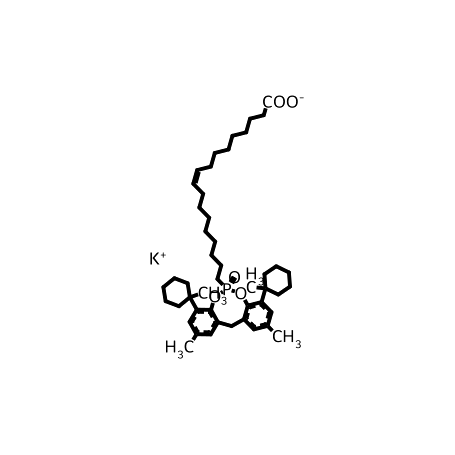 Cc1cc2c(c(C3(C)CCCCC3)c1)OP(=O)(CCCCCCCC/C=C\CCCCCCCC(=O)[O-])Oc1c(cc(C)cc1C1(C)CCCCC1)C2.[K+]